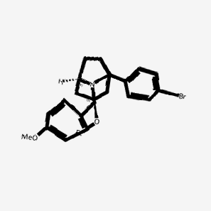 CCO[C@H]1C[C@H]2CCC(c3ccc(Br)cc3)(C1)N2Cc1ccc(OC)cc1